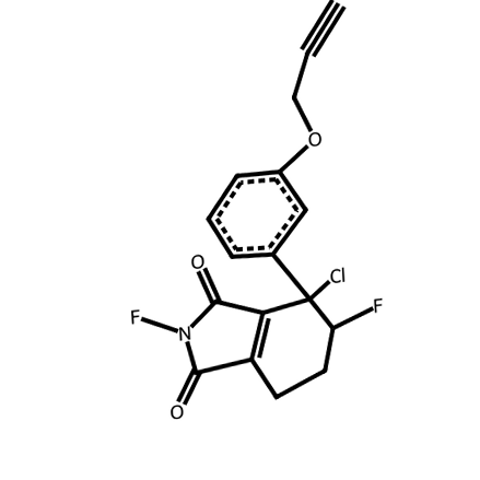 C#CCOc1cccc(C2(Cl)C3=C(CCC2F)C(=O)N(F)C3=O)c1